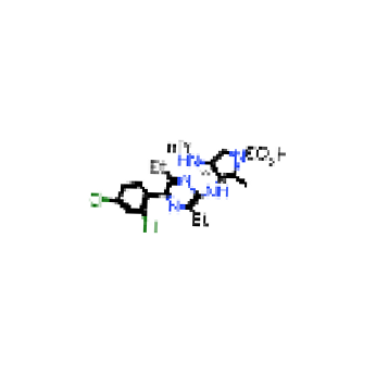 CCCN[C@H]1CN(C(=O)O)C(C)[C@@H]1Nc1nc(CC)c(-c2ccc(Cl)cc2Cl)nc1CC